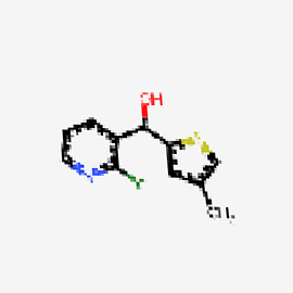 Cc1csc(C(O)c2cccnc2Cl)c1